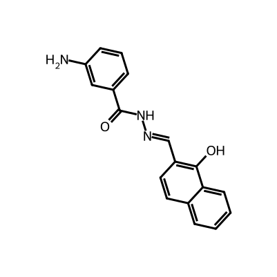 Nc1cccc(C(=O)N/N=C/c2ccc3ccccc3c2O)c1